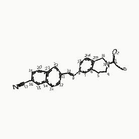 CC(=O)N1CCc2cc(C=Cc3ccc4cc(C#N)ccc4c3)ccc2C1